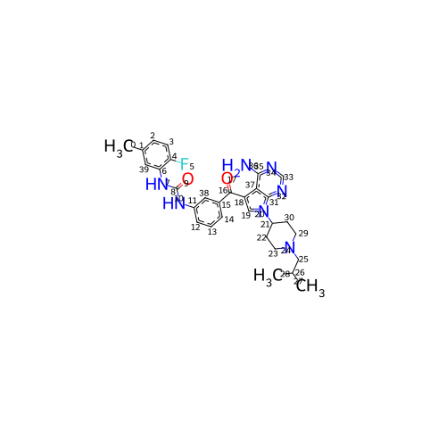 Cc1ccc(F)c(NC(=O)Nc2cccc(C(=O)c3cn(C4CCN(CC(C)C)CC4)c4ncnc(N)c34)c2)c1